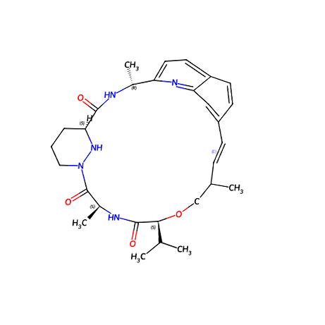 CC1/C=C/c2ccc3ccc(nc3c2)[C@@H](C)NC(=O)[C@@H]2CCCN(N2)C(=O)[C@H](C)NC(=O)[C@H](C(C)C)OC1